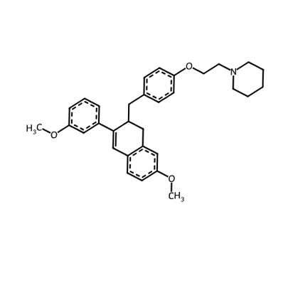 COc1cccc(C2=Cc3ccc(OC)cc3CC2Cc2ccc(OCCN3CCCCC3)cc2)c1